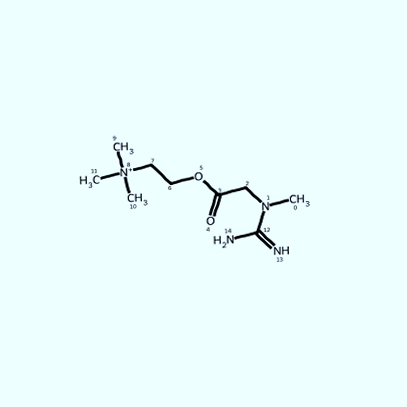 CN(CC(=O)OCC[N+](C)(C)C)C(=N)N